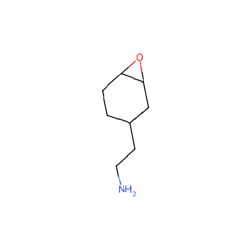 NCCC1CCC2OC2C1